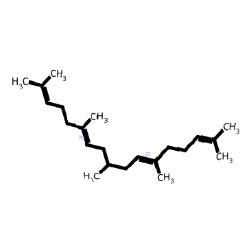 C[C](C/C=C(\C)CCC=C(C)C)C/C=C(\C)CCC=C(C)C